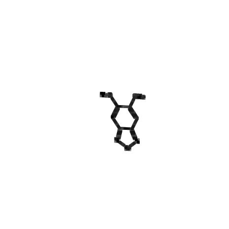 COc1cc2n[se]nc2cc1OC